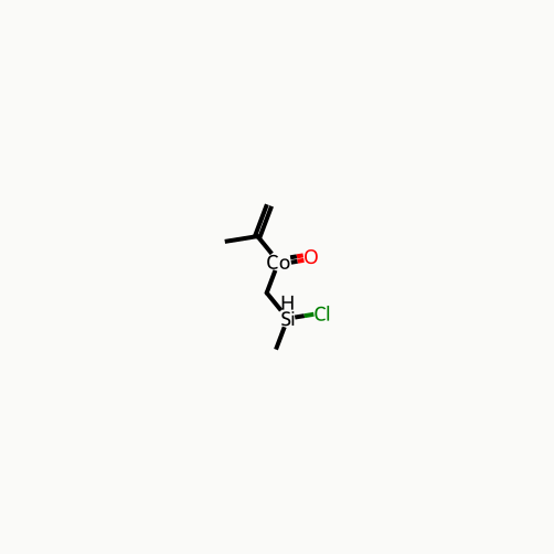 C=[C](C)[Co](=[O])[CH2][SiH](C)Cl